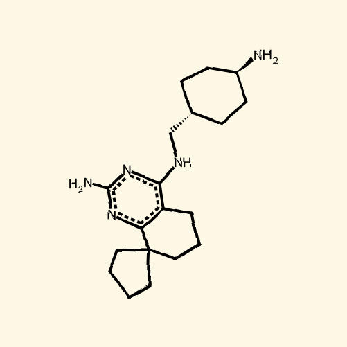 Nc1nc(NC[C@H]2CC[C@H](N)CC2)c2c(n1)C1(CCCC1)CCC2